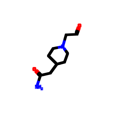 NC(=O)CC1CCN(CC=O)CC1